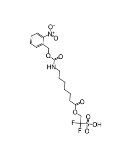 O=C(CCCCCCNC(=O)OCc1ccccc1[N+](=O)[O-])OCC(F)(F)S(=O)(=O)O